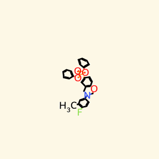 Cc1cc(N2COc3ccc(P(=O)(Oc4ccccc4)Oc4ccccc4)cc3C2)ccc1F